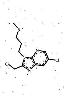 CSCCCn1c(CCl)nc2cc(Cl)cnc21